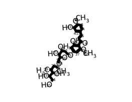 COc1ccc(C=CC(=O)c2c(O)cc(O[C@H]3CC(O)[C@H](O)C(COC(C)CC(C)C(O)C(O)CO)O3)cc2OC)cc1O